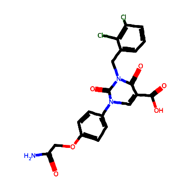 NC(=O)COc1ccc(-n2cc(C(=O)O)c(=O)n(Cc3cccc(Cl)c3Cl)c2=O)cc1